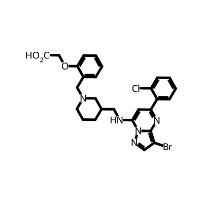 O=C(O)COc1ccccc1CN1CCCC(CNc2cc(-c3ccccc3Cl)nc3c(Br)cnn23)C1